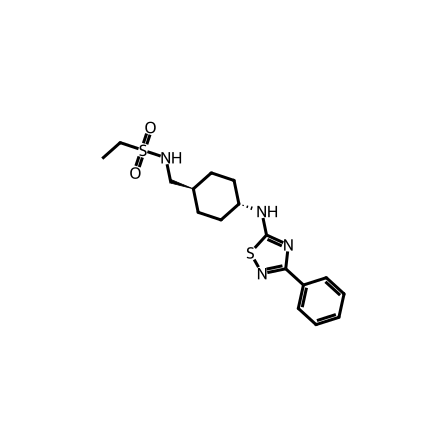 CCS(=O)(=O)NC[C@H]1CC[C@H](Nc2nc(-c3ccccc3)ns2)CC1